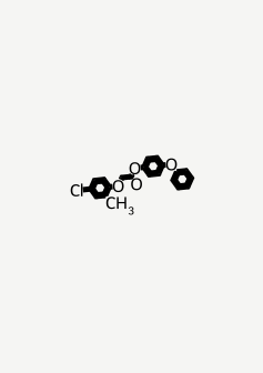 Cc1cc(Cl)ccc1OCC(=O)Oc1ccc(Oc2ccccc2)cc1